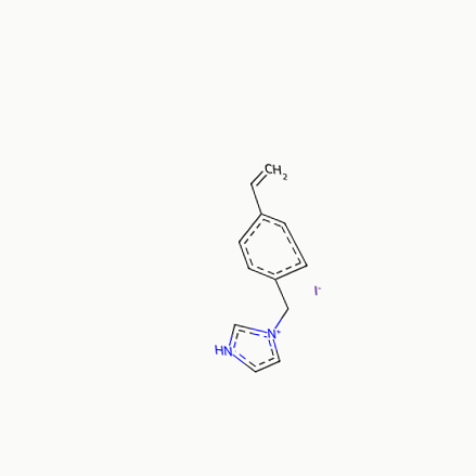 C=Cc1ccc(C[n+]2cc[nH]c2)cc1.[I-]